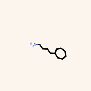 NCCCCC1C[CH]CCCC1